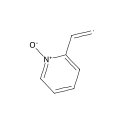 [CH]=Cc1cccc[n+]1[O-]